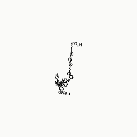 CC(C)(C)OC(=O)N1CCC(Nc2cccc(NCc3cccc(OCCCCCCOCCOCCOCCCCCC(=O)O)c3)c2)(c2nnc(-c3ccncc3)[nH]2)CC1